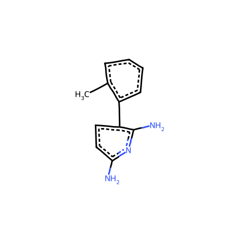 Cc1ccccc1-c1ccc(N)nc1N